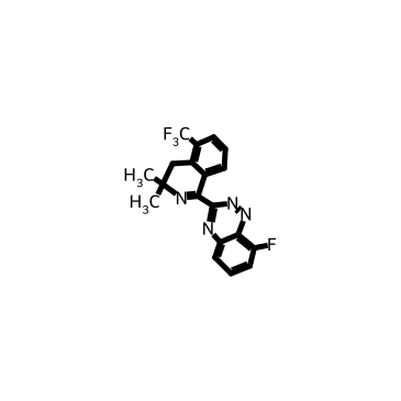 CC1(C)Cc2c(cccc2C(F)(F)F)C(c2nnc3c(F)cccc3n2)=N1